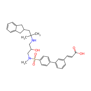 CN(CC(O)CNC(C)(C)CC1Cc2ccccc2C1)S(=O)(=O)c1ccc(-c2cccc(C=CC(=O)O)c2)cc1